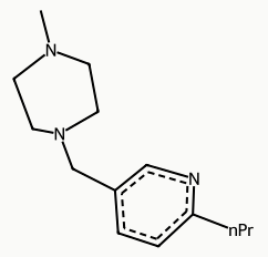 CCCc1ccc(CN2CCN(C)CC2)cn1